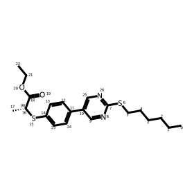 CCCCCCSc1ncc(-c2ccc(S[C@H](C)C(=O)OCC)cc2)cn1